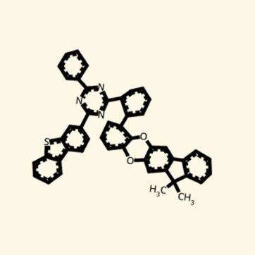 CC1(C)c2ccccc2-c2cc3c(cc21)Oc1cccc(-c2ccccc2-c2nc(-c4ccccc4)nc(-c4ccc5c(c4)sc4ccccc45)n2)c1O3